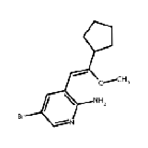 COC(=Cc1cc(Br)cnc1N)C1CCCC1